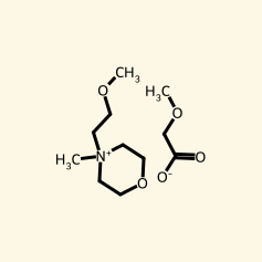 COCC(=O)[O-].COCC[N+]1(C)CCOCC1